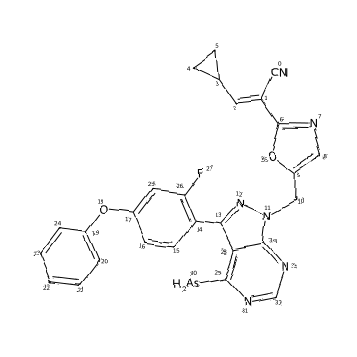 N#CC(=CC1CC1)c1ncc(Cn2nc(-c3ccc(Oc4ccccc4)cc3F)c3c([AsH2])ncnc32)o1